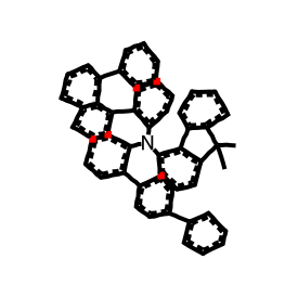 CC1(C)c2ccccc2-c2c(N(c3ccccc3-c3ccc(-c4ccccc4)cc3)c3ccccc3-c3cccc4cccc(-c5ccccc5)c34)cccc21